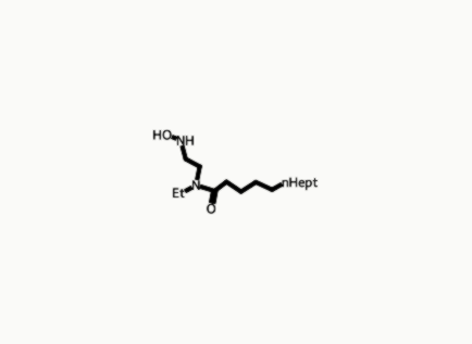 CCCCCCCCCCCC(=O)N(CC)CCNO